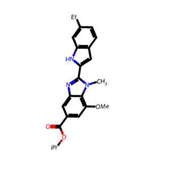 CCc1ccc2cc(-c3nc4cc(C(=O)OC(C)C)cc(OC)c4n3C)[nH]c2c1